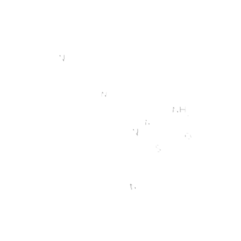 Cc1cc(-c2ncc(CN3N=C(c4cnccc4C)SC3C(N)=O)cc2C)ccn1